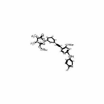 COc1nc(Nc2ccc(F)nc2)ncc1C#C[C@@H]1CCC[C@H](NC(=O)[C@H](C)N(C)C(=O)OC(C)(C)C)C1